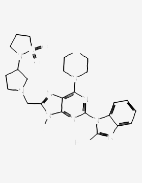 Cc1nc2ccccc2n1-c1nc(N2CCOCC2)c2nc(CN3CCC(N4CCCS4(=O)=O)C3)n(C)c2n1